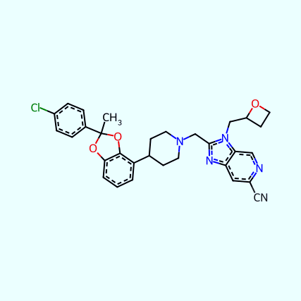 CC1(c2ccc(Cl)cc2)Oc2cccc(C3CCN(Cc4nc5cc(C#N)ncc5n4CC4CCO4)CC3)c2O1